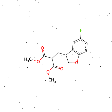 COC(=O)C(CC1COc2ccc(F)cc21)C(=O)OC